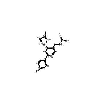 CCC(=O)NCc1cnc(-c2ccc(F)cc2)cc1-n1nnc(C)n1